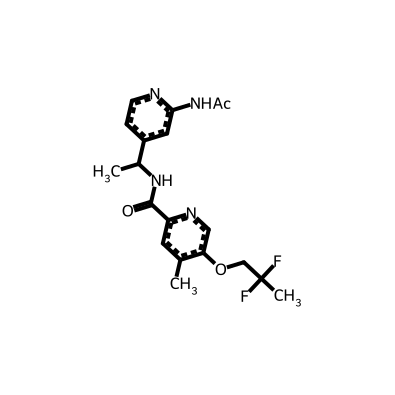 CC(=O)Nc1cc(C(C)NC(=O)c2cc(C)c(OCC(C)(F)F)cn2)ccn1